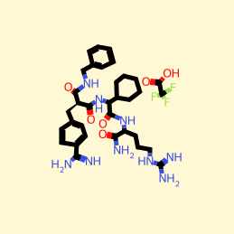 N=C(N)NCCCC(NC(=O)C(NC(=O)[C@@H](Cc1ccc(C(=N)N)cc1)C(=O)NCc1ccccc1)C1CCCCC1)C(N)=O.O=C(O)C(F)(F)F